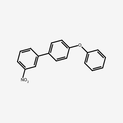 O=[N+]([O-])c1cc[c]c(-c2ccc(Oc3ccccc3)cc2)c1